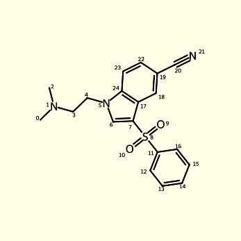 CN(C)CCn1cc(S(=O)(=O)c2ccccc2)c2cc(C#N)ccc21